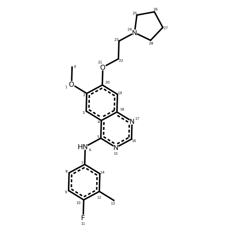 COc1cc2c(Nc3ccc(F)c(C)c3)ncnc2cc1OCCN1CCCC1